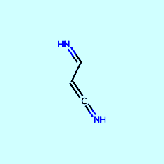 N=C=CC=N